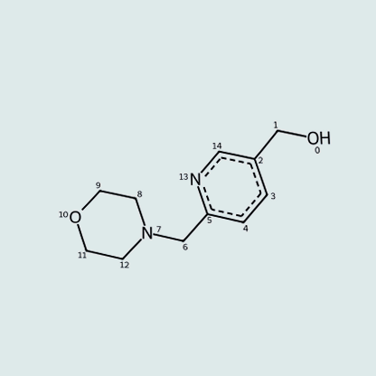 OCc1ccc(CN2CCOCC2)nc1